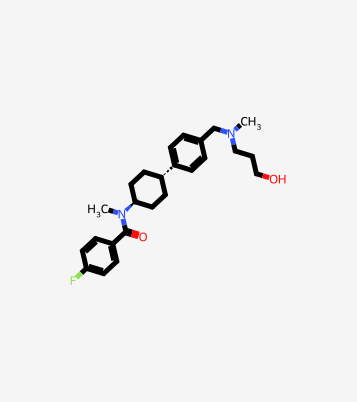 CN(CCCO)Cc1ccc([C@H]2CC[C@H](N(C)C(=O)c3ccc(F)cc3)CC2)cc1